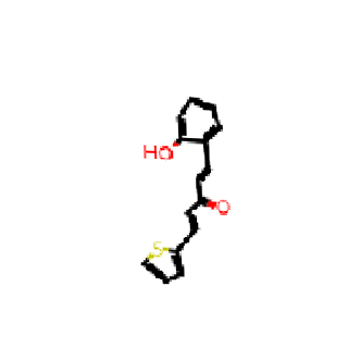 O=C(C=Cc1cccs1)C=Cc1ccccc1O